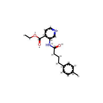 CCOC(=O)c1ccncc1NC(=O)CCCc1ccc(C)cc1